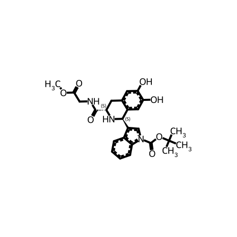 COC(=O)CNC(=O)[C@@H]1Cc2cc(O)c(O)cc2[C@@H](c2cn(C(=O)OC(C)(C)C)c3ccccc23)N1